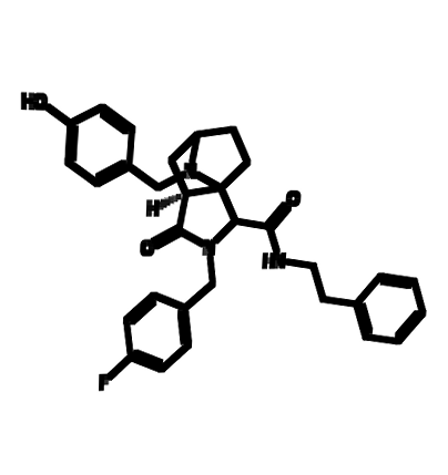 O=C(NCCc1ccccc1)C1N(Cc2ccc(F)cc2)C(=O)[C@H]2CC3CCC12N3Cc1ccc(O)cc1